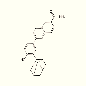 NC(=O)c1ccc2cc(-c3ccc(O)c(C4C5CC6CC(C5)CC4C6)c3)ccc2c1